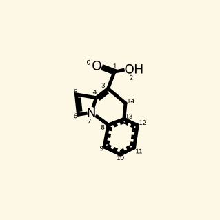 O=C(O)C1=C2C=CN2c2ccccc2C1